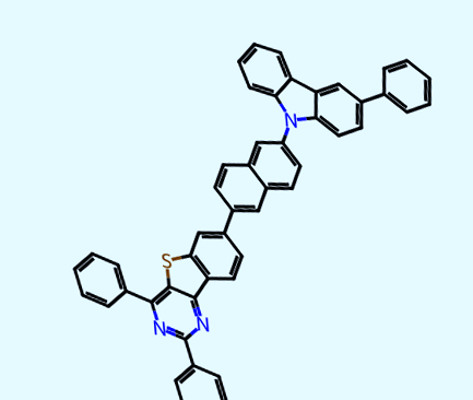 c1ccc(-c2ccc3c(c2)c2ccccc2n3-c2ccc3cc(-c4ccc5c(c4)sc4c(-c6ccccc6)nc(-c6ccccc6)nc45)ccc3c2)cc1